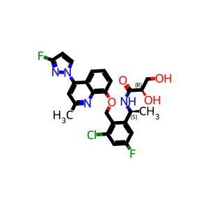 Cc1cc(-n2ccc(F)n2)c2cccc(OCc3c(Cl)cc(F)cc3[C@H](C)NC(=O)[C@H](O)CO)c2n1